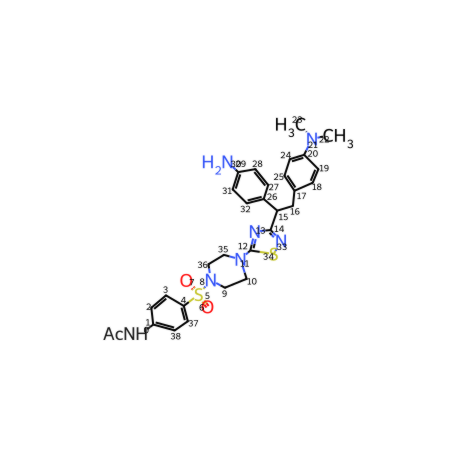 CC(=O)Nc1ccc(S(=O)(=O)N2CCN(c3nc(C(Cc4ccc(N(C)C)cc4)c4ccc(N)cc4)ns3)CC2)cc1